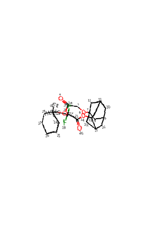 CCC1(OC(=O)COC23CC4CC(C2)C(OC(=O)C(F)(F)S(=O)(=O)O)C(C4)C3)CCCCC1